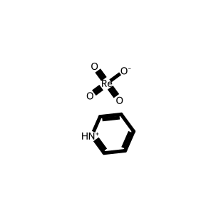 [O]=[Re](=[O])(=[O])[O-].c1cc[nH+]cc1